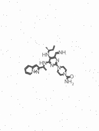 CC[C@H](C)Nc1c(C=N)nc(N2CCN(C(N)=O)CC2)nc1NC(C)c1cc2ccccn2n1